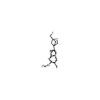 CCC(C)Oc1nc2nc(C34COC(CF)(C3)C4)cn2cc1I